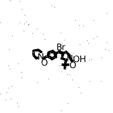 CC(C)(C)C1C/C(=C(/Br)c2ccc(C(=O)N3CCCCC3)cc2)CCN1C(=O)O